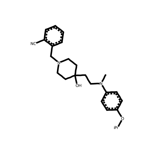 CC(C)Oc1ccc(N(C)CCC2(O)CCN(Cc3ccccc3C#N)CC2)cc1